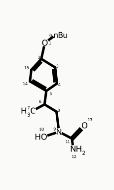 CCCCOc1ccc(C(C)CN(O)C(N)=O)cc1